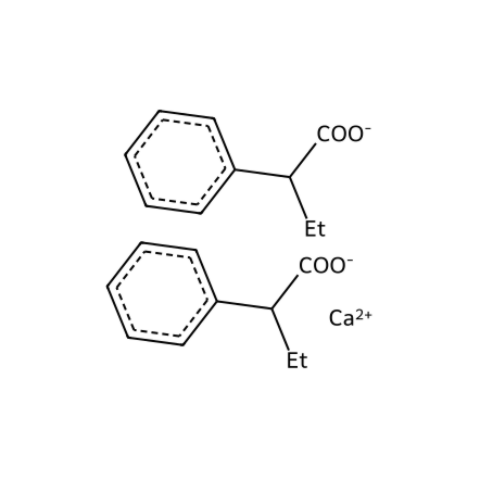 CCC(C(=O)[O-])c1ccccc1.CCC(C(=O)[O-])c1ccccc1.[Ca+2]